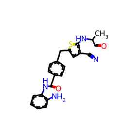 CC(C=O)Nc1sc(Cc2ccc(C(=O)Nc3ccccc3N)cc2)cc1C#N